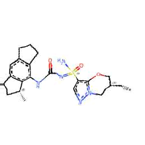 CO[C@@H]1COc2c([S@@](N)(=O)=NC(=O)Nc3c4c(cc5c3[C@H](C)CC5)CCC4)cnn2C1